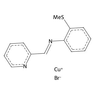 CSc1ccccc1/N=C/c1ccccn1.[Br-].[Cu+]